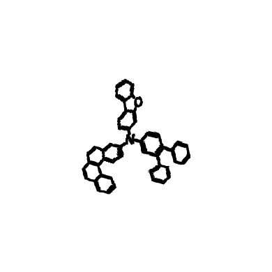 c1ccc(-c2ccc(N(c3ccc4c(ccc5ccc6ccccc6c54)c3)c3ccc4c(c3)oc3ccccc34)cc2-c2ccccc2)cc1